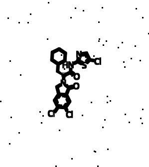 O=C(Nc1ncc(Cl)s1)[C@H](CC1CCCCC1)N1Cc2cc(Cl)c(Cl)cc2C1=O